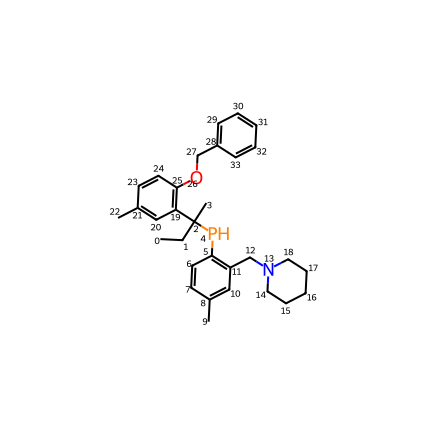 CCC(C)(Pc1ccc(C)cc1CN1CCCCC1)c1cc(C)ccc1OCc1ccccc1